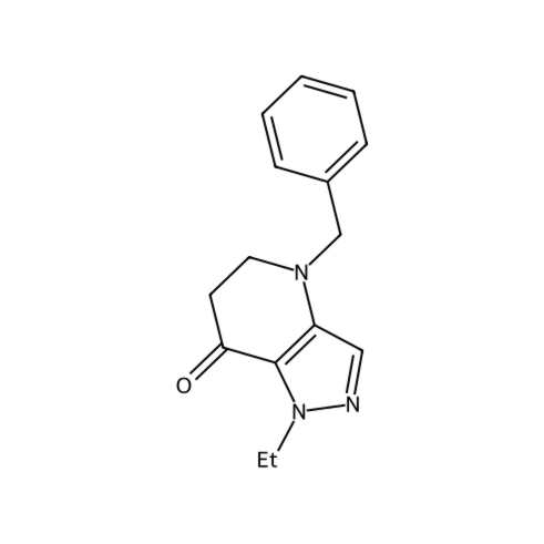 CCn1ncc2c1C(=O)CCN2Cc1ccccc1